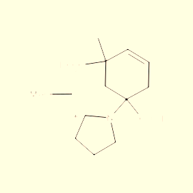 COC[C@H]1CCCN1C1(C(=O)O)CC=CC(C)(C(=O)O)C1